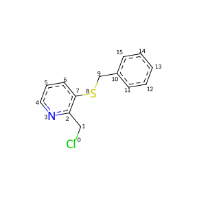 ClCc1ncccc1SCc1ccccc1